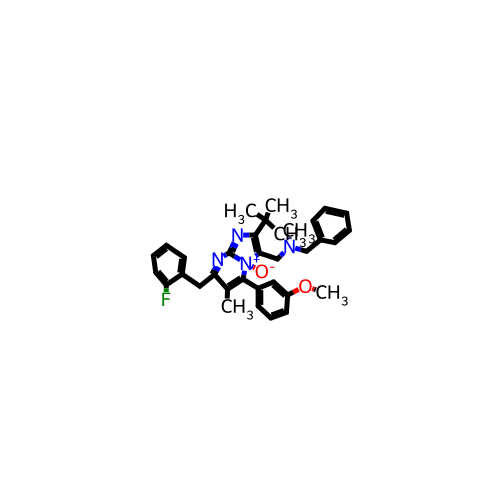 COc1cccc(C2=C(C)C(Cc3ccccc3F)=NC3=NC(C(C)(C)C)=C(CN(C)Cc4ccccc4)[N+]32[O-])c1